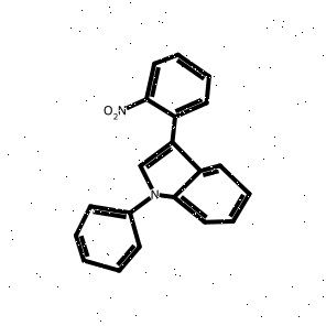 O=[N+]([O-])c1ccccc1-c1cn(-c2ccccc2)c2ccccc12